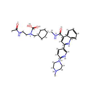 CC(=O)NCCN(C[C@H]1CC[C@H](CNC(=O)c2cc(-c3ccc(N4CCN(C)CC4)nc3)nc3ccccc23)CC1)C(=O)O